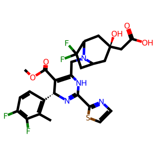 COC(=O)C1=C(CN2C3CC(F)(F)C2C[C@](O)(CC(=O)O)C3)NC(c2nccs2)=N[C@@H]1c1ccc(F)c(F)c1C